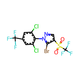 O=S(=O)(c1cnn(-c2c(Cl)cc(C(F)(F)F)cc2Cl)c1Br)C(F)(F)F